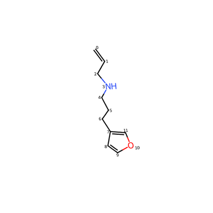 C=CCNCCCc1ccoc1